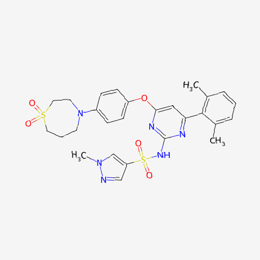 Cc1cccc(C)c1-c1cc(Oc2ccc(N3CCCS(=O)(=O)CC3)cc2)nc(NS(=O)(=O)c2cnn(C)c2)n1